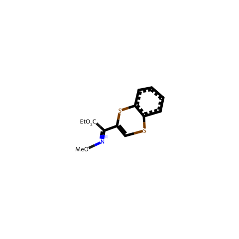 CCOC(=O)/C(=N\OC)C1=CSc2ccccc2S1